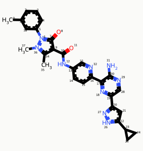 Cc1cccc(-n2c(=O)c(C(=O)Nc3ccc(-c4nc(-c5cc(C6CC6)[nH]n5)cnc4N)nc3)c(C)n2C)c1